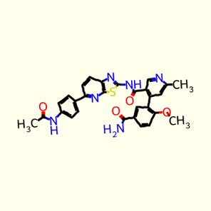 COc1ccc(C(N)=O)cc1-c1cc(C)ncc1C(=O)Nc1nc2ccc(-c3ccc(NC(C)=O)cc3)nc2s1